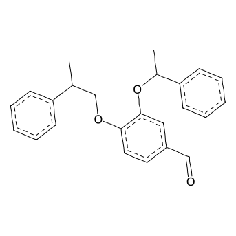 CC(COc1ccc(C=O)cc1OC(C)c1ccccc1)c1ccccc1